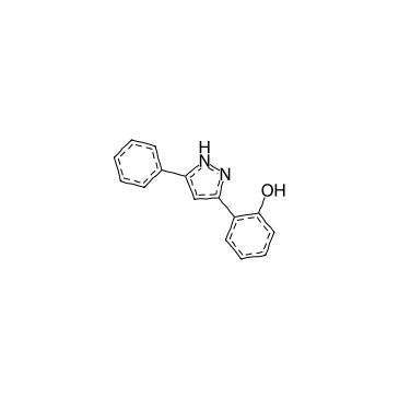 Oc1ccccc1-c1cc(-c2ccccc2)[nH]n1